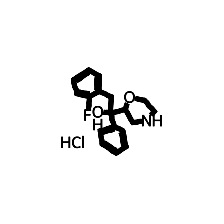 Cl.OC(Cc1ccccc1F)(c1ccccc1)C1CNCCO1